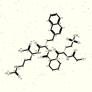 CS(=O)(=O)CC[C@H](NC(=O)CCl)C(=O)N1CCCC[C@H]1C(=O)N[C@@H](CCc1ccc2ccccc2c1)C(=O)N[C@@H](CCCNC(N)=O)C(N)=O